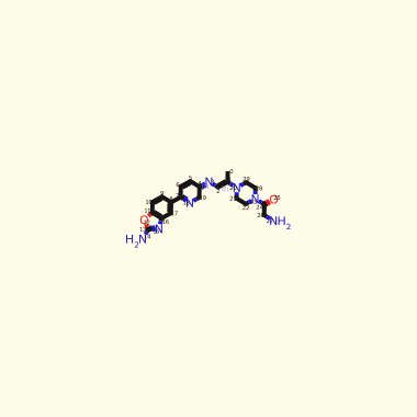 C/C(=C\N=C1\C=CC(c2ccc3oc(N)nc3c2)=NC1)N1CCN(C(=O)CN)CC1